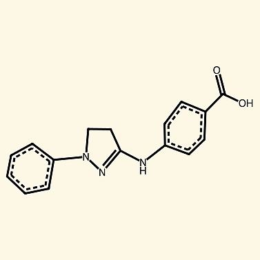 O=C(O)c1ccc(NC2=NN(c3ccccc3)CC2)cc1